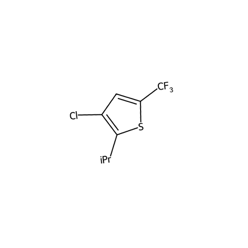 CC(C)c1sc(C(F)(F)F)cc1Cl